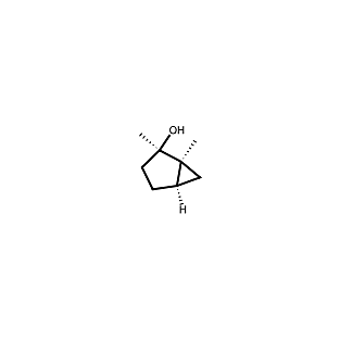 C[C@]12C[C@H]1CC[C@@]2(C)O